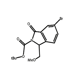 COCC1c2ccc(Br)cc2C(=O)N1C(=O)OC(C)(C)C